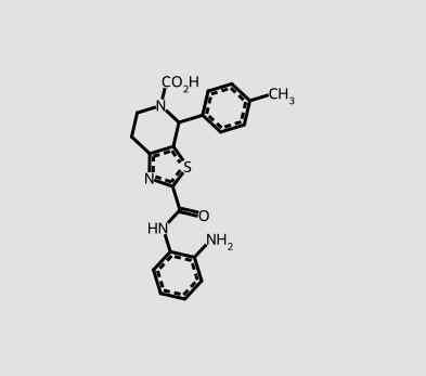 Cc1ccc(C2c3sc(C(=O)Nc4ccccc4N)nc3CCN2C(=O)O)cc1